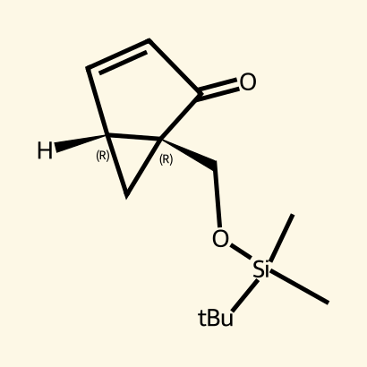 CC(C)(C)[Si](C)(C)OC[C@@]12C[C@@H]1C=CC2=O